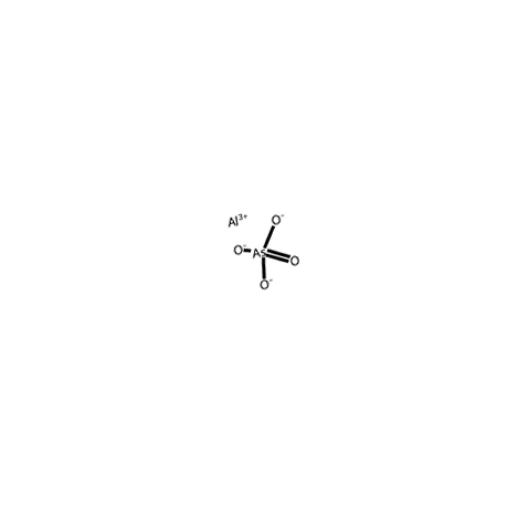 O=[As]([O-])([O-])[O-].[Al+3]